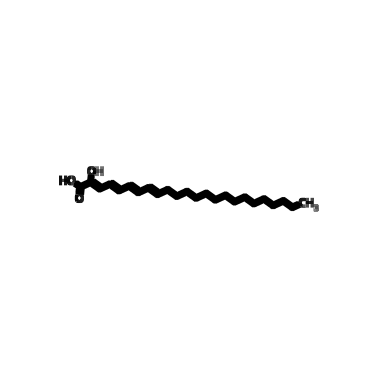 CCCCCCCCCCCCCCCC=CC=CC=CC=C(O)C(=O)O